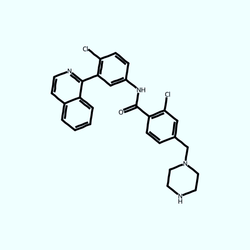 O=C(Nc1ccc(Cl)c(-c2nccc3ccccc23)c1)c1ccc(CN2CCNCC2)cc1Cl